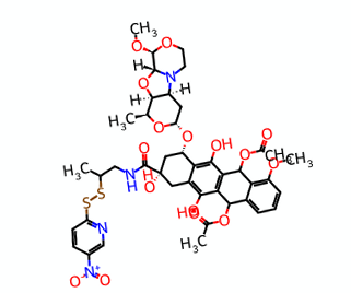 COc1cccc2c1C(OC(C)=O)c1c(O)c3c(c(O)c1C2OC(C)=O)C[C@@](O)(C(=O)NCC(C)SSc1ccc([N+](=O)[O-])cn1)C[C@@H]3O[C@H]1C[C@H]2[C@H](O[C@@H]3[C@@H](OC)OCCN32)[C@H](C)O1